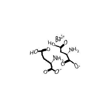 N[C@@H](CC(=O)O)C(=O)[O-].N[C@@H](CC(=O)O)C(=O)[O-].[Ba+2]